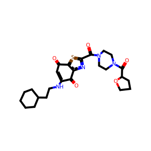 O=C1C(NCCC2CCCCC2)=CC(=O)c2sc(C(=O)N3CCN(C(=O)C4CCCO4)CC3)nc21